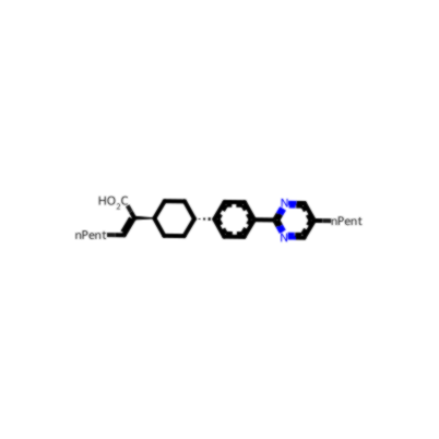 CCCCCC=C(C(=O)O)[C@H]1CC[C@H](c2ccc(-c3ncc(CCCCC)cn3)cc2)CC1